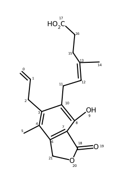 C=CCc1c(C)c2c(c(O)c1CC=C(C)CCC(=O)O)C(=O)OC2